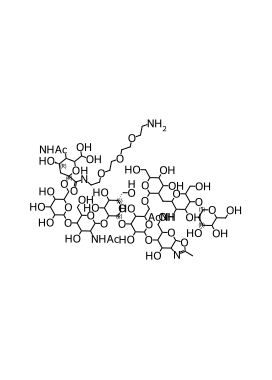 CC(=O)NC1C(CC2C(OCC3OC(OC4C(CO)OC5OC(C)=NC5C4O)C(O)C(O[C@H]4O[C@@H](CO)C(O)C(O)C4OC4OC(CO)C(OC5OC(CO[C@]6(C(=O)NCCOCCOCCOCCN)C[C@@H](O)C(NC(C)=O)C(C(O)O)O6)C(O)C(O)C5O)C(O)C4NC(C)=O)C3O)OC(CO)C(O)C2O)OC(CO)C(O[C@H]2C[C@@H](O)C(O)C(CO)O2)C1O